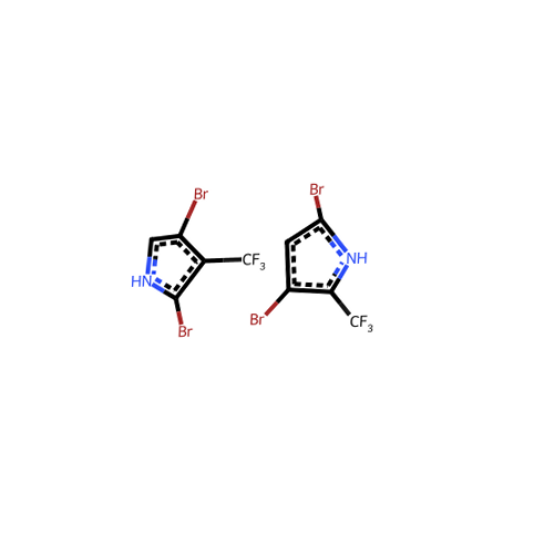 FC(F)(F)c1[nH]c(Br)cc1Br.FC(F)(F)c1c(Br)c[nH]c1Br